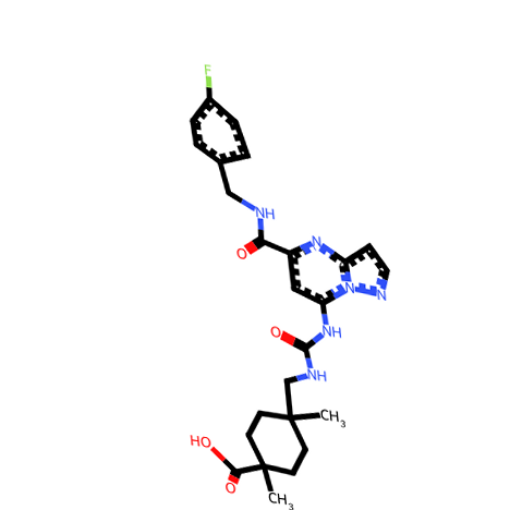 CC1(CNC(=O)Nc2cc(C(=O)NCc3ccc(F)cc3)nc3ccnn23)CCC(C)(C(=O)O)CC1